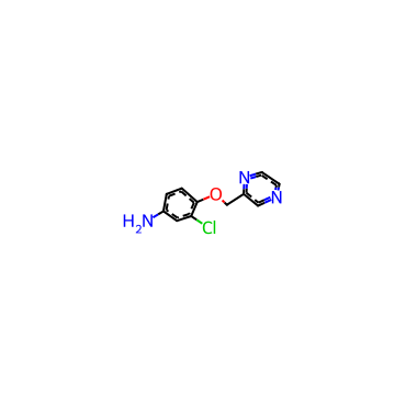 Nc1ccc(OCc2cnccn2)c(Cl)c1